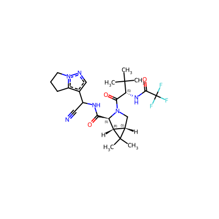 CC(C)(C)[C@H](NC(=O)C(F)(F)F)C(=O)N1C[C@H]2[C@@H]([C@H]1C(=O)NC(C#N)c1cnn3c1CCC3)C2(C)C